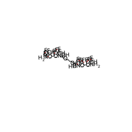 Cc1c(-c2ccc(NCC(O)COCCCCOCC(O)CNc3ccc(-c4ccc(N)c(C(O)(C(F)(F)F)C(F)(F)F)c4C)c(C)c3C(O)(C(F)(F)F)C(F)(F)F)c(C(O)(C(F)(F)F)C(F)(F)F)c2C)ccc(N)c1C(O)(C(F)(F)F)C(F)(F)F